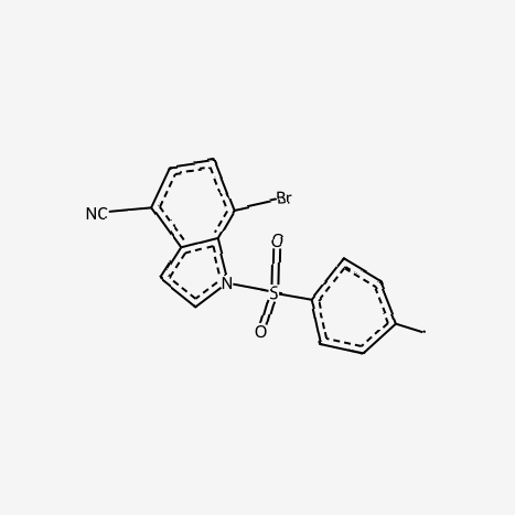 Cc1ccc(S(=O)(=O)n2ccc3c(C#N)ccc(Br)c32)cc1